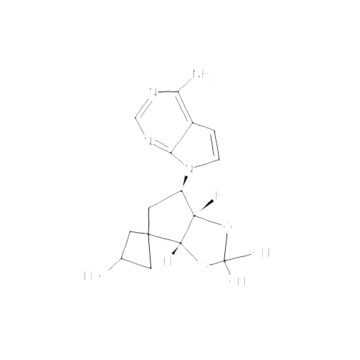 CC1CC2(C1)C[C@@H](n1ccc3c(N)ncnc31)[C@@H]1OC(C)(C)O[C@@H]12